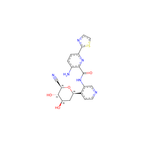 N#C[C@H]1O[C@@H](c2ccncc2NC(=O)c2nc(-c3nccs3)ccc2N)C[C@@H](O)[C@@H]1O